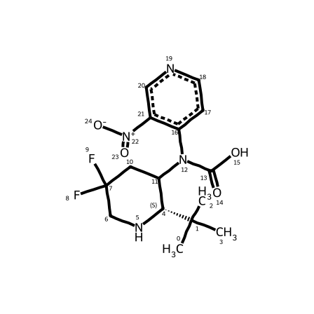 CC(C)(C)[C@@H]1NCC(F)(F)CC1N(C(=O)O)c1ccncc1[N+](=O)[O-]